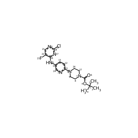 CC(C)(C)OC(=O)N1CCN(c2ccc(Nc3nc(Cl)ncc3F)cn2)CC1